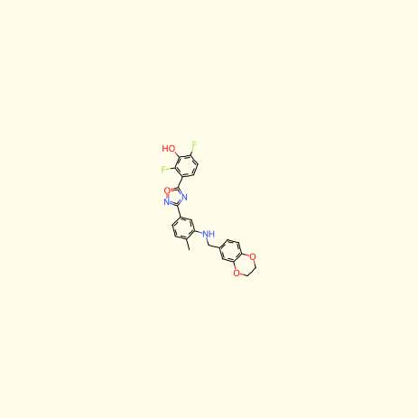 Cc1ccc(-c2noc(-c3ccc(F)c(O)c3F)n2)cc1NCc1ccc2c(c1)OCCO2